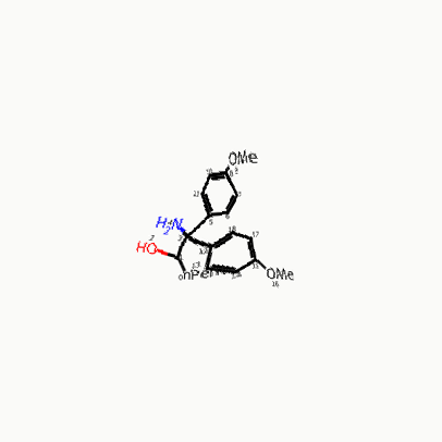 CCCCCC(O)C(N)(c1ccc(OC)cc1)c1ccc(OC)cc1